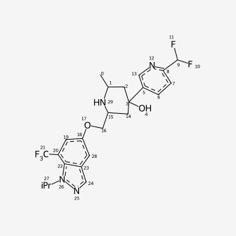 CC1CC(O)(c2ccc(C(F)F)nc2)CC(COc2cc(C(F)(F)F)c3c(cnn3C(C)C)c2)N1